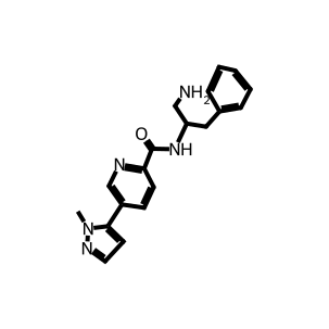 Cn1nccc1-c1ccc(C(=O)NC(CN)Cc2ccccc2)nc1